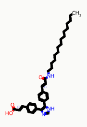 CCCCCCCCCCCCCCCCNC(=O)/C=C/c1ccc(-c2[nH]cnc2-c2ccc(/C=C/C(=O)O)cc2)cc1